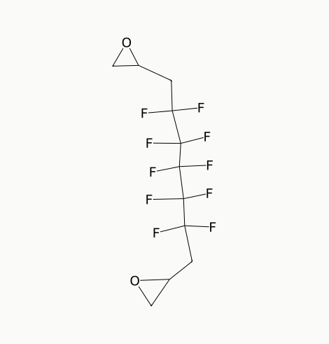 FC(F)(CC1CO1)C(F)(F)C(F)(F)C(F)(F)C(F)(F)CC1CO1